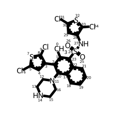 Cc1c(-c2cc(Cl)sc2Cl)c(N2CCNCC2)c2ccccc2c1S(=O)(=O)Nc1cc(Cl)sc1Cl